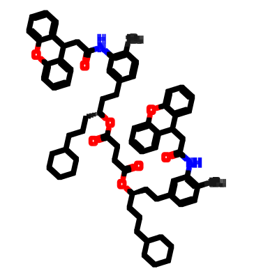 CC(C)(C)c1ccc(CC[C@@H](CCCC2CCCCC2)OC(=O)CCC(=O)O[C@H](CCCC2CCCCC2)CCc2ccc(C(C)(C)C)c(NC(=O)CC3c4ccccc4Oc4ccccc43)c2)cc1NC(=O)CC1c2ccccc2Oc2ccccc21